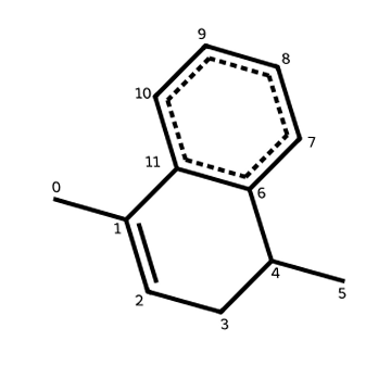 CC1=CCC(C)c2ccccc21